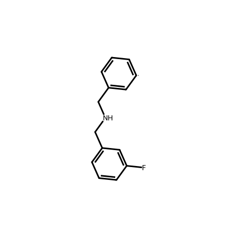 Fc1cccc(CNCc2c[c]ccc2)c1